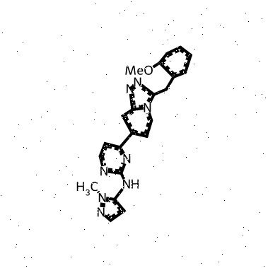 COc1ccccc1Cc1nnc2cc(-c3ccnc(Nc4ccnn4C)n3)ccn12